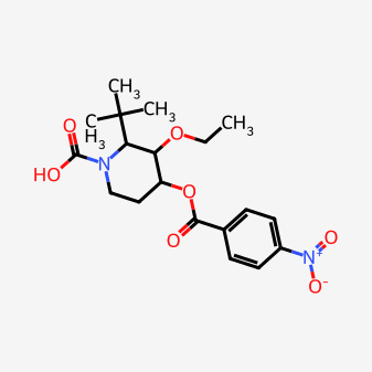 CCOC1C(OC(=O)c2ccc([N+](=O)[O-])cc2)CCN(C(=O)O)C1C(C)(C)C